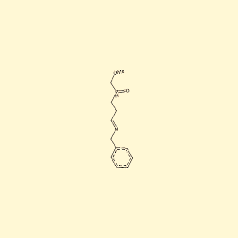 COC[PH](=O)CCC=NCc1ccccc1